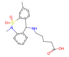 Cc1ccc2c(c1)S(=O)(=O)N(C)c1ccccc1C2NCCCCC(=O)O